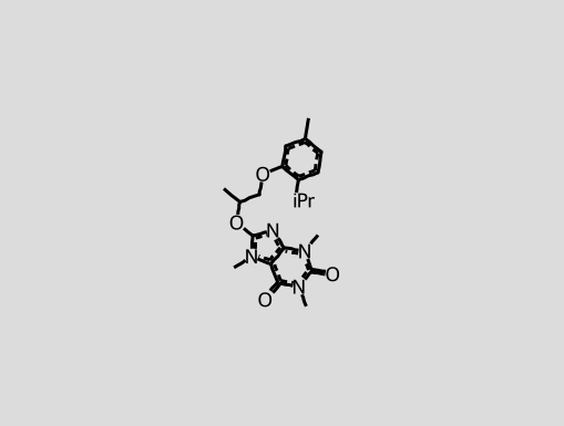 Cc1ccc(C(C)C)c(OCC(C)Oc2nc3c(c(=O)n(C)c(=O)n3C)n2C)c1